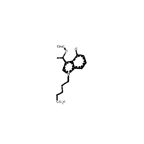 CC(OC=O)c1cn(CCCCC(=O)O)c2cccc(Cl)c12